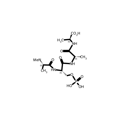 CN[C@@H](C)C(=O)N[C@@H](COP(=O)(O)O)C(=O)N[C@@H](C)C(=O)N[C@@H](C)C(=O)O